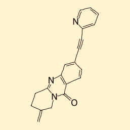 C=C1CCc2nc3cc(C#Cc4ccccn4)ccc3c(=O)n2C1